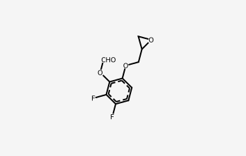 O=COc1c(OCC2CO2)ccc(F)c1F